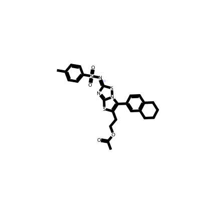 CC(=O)OCCc1sc2n/c(=N\S(=O)(=O)c3ccc(C)cc3)sn2c1-c1ccc2c(c1)CCCC2